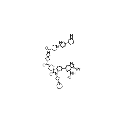 CC(C)n1cnc2cc(-c3ccc4c(c3)N(C3CC(N5CCCCC5)C3)C(=O)C43CCN(C(=O)C4CC5(C4)CN(C(=O)C4CCN(c6ccc(C7CCCNC7)cn6)CC4)C5)CC3)nc(NC3CC3)c21